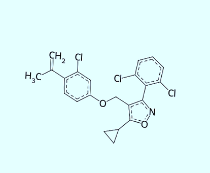 C=C(C)c1ccc(OCc2c(-c3c(Cl)cccc3Cl)noc2C2CC2)cc1Cl